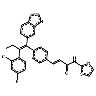 CC/C(=C(/c1ccc(/C=C/C(=O)Nc2nccs2)cc1)c1ccc2scnc2c1)c1ccc(F)cc1Cl